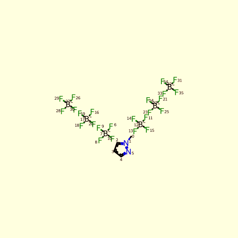 Cn1cccn1.F[B-](F)(F)F.F[B-](F)(F)F.F[B-](F)(F)F.F[B-](F)(F)F.F[B-](F)(F)F.F[B-](F)(F)F